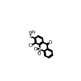 CCCSc1ccc2c(c1Cl)S(=O)(=O)c1ccccc1C2=O